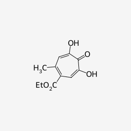 CCOC(=O)c1cc(O)c(=O)c(O)cc1C